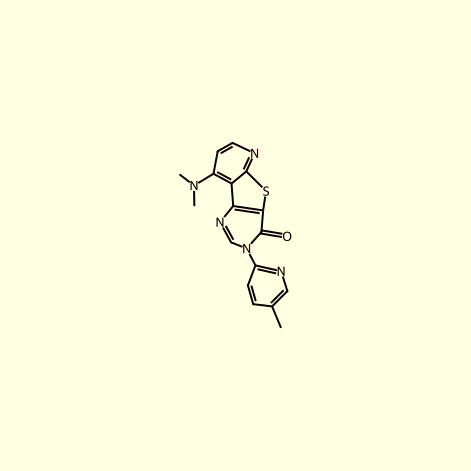 Cc1ccc(-n2cnc3c(sc4nccc(N(C)C)c43)c2=O)nc1